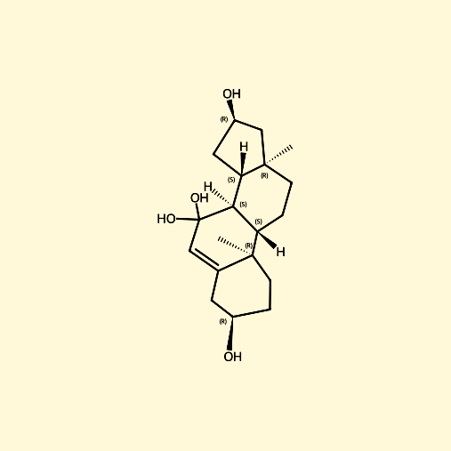 C[C@]12CC[C@H]3[C@H]([C@@H]1C[C@@H](O)C2)C(O)(O)C=C1C[C@H](O)CC[C@@]13C